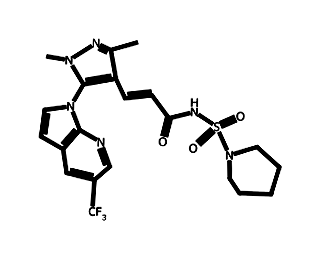 Cc1nn(C)c(-n2ccc3cc(C(F)(F)F)cnc32)c1/C=C/C(=O)NS(=O)(=O)N1CCCCC1